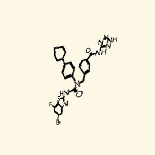 O=C(Nc1nn[nH]n1)c1ccc(CN(C(=O)Nc2nc3cc(Br)cc(F)c3s2)c2ccc(C3CCCCC3)cc2)cc1